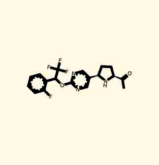 CC(=O)[C@@H]1CC[C@H](c2cnc(OC(c3ccccc3F)C(F)(F)F)nc2)N1